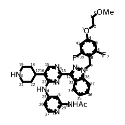 COCCOc1cc(F)c(Cn2nc(-c3ncc(C4CCNCC4)c(Nc4ccnc(NC(C)=O)c4)n3)c3ccccc32)c(F)c1